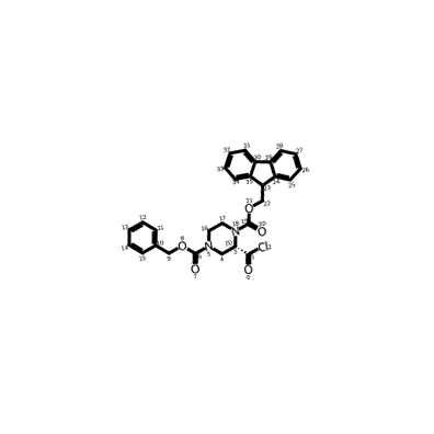 O=C(Cl)[C@@H]1CN(C(=O)OCc2ccccc2)CCN1C(=O)OCC1c2ccccc2-c2ccccc21